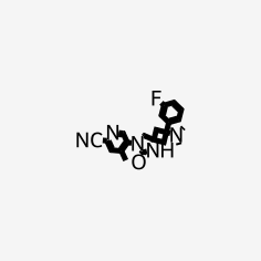 Cc1cc(C#N)ncc1N1CC2(CC(c3cccc(F)c3)(N(C)C)C2)NC1=O